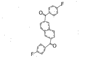 O=C(c1ccc(F)cc1)c1ccc2cc(C(=O)c3ccc(F)cc3)ccc2c1